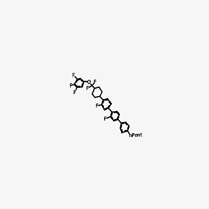 CCCCCc1ccc(-c2ccc(-c3ccc(C4CCC(C(F)(F)Oc5cc(F)c(F)c(F)c5)CC4)c(F)c3)c(F)c2)cc1